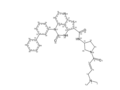 CN(C)CC=CC(=O)N1CCC(NC(=O)c2sc3nccc4c3c2NC(=O)N4c2cccc(-c3ccccc3)c2)C1